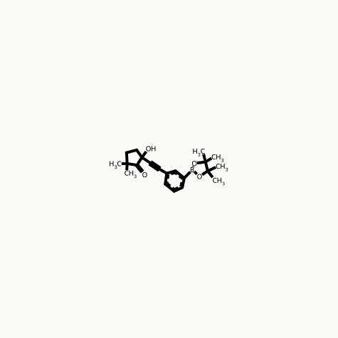 CC1(C)CCC(O)(C#Cc2cccc(B3OC(C)(C)C(C)(C)O3)c2)C1=O